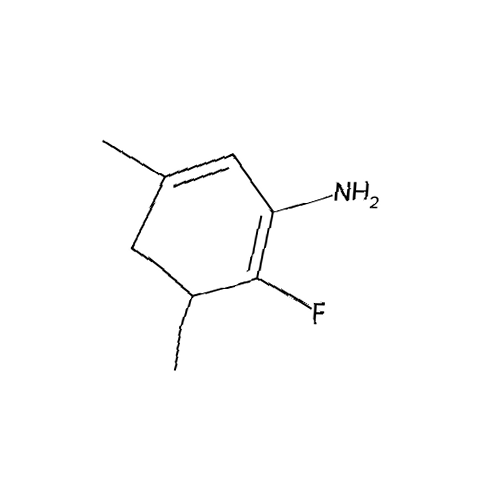 CC1=CC(N)=C(F)C(C)C1